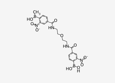 CB(O)c1ccc(C(=O)NCCOCCNC(=O)c2ccc(B(O)O)c([N+](=O)[O-])c2)cc1[N+](=O)[O-]